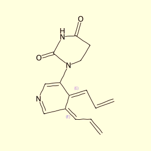 C=C/C=c1/cncc(N2CCC(=O)NC2=O)/c1=C/C=C